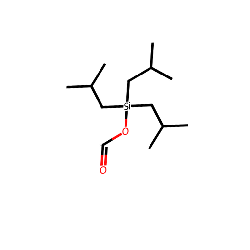 CC(C)C[Si](CC(C)C)(CC(C)C)O[C]=O